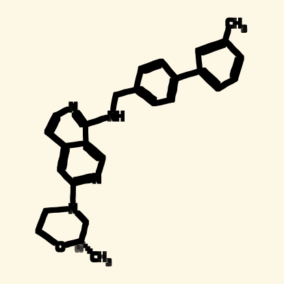 Cc1cccc(-c2ccc(CNc3nccc4cc(N5CCO[C@@H](C)C5)ncc34)cc2)c1